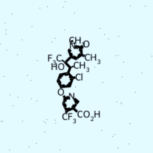 Cc1cc([C@@](O)([C@@H](C)c2ccc(Oc3cc(C(F)(F)F)c(C(=O)O)cn3)cc2Cl)C(F)(F)F)cn(C)c1=O